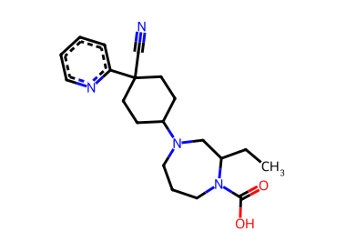 CCC1CN(C2CCC(C#N)(c3ccccn3)CC2)CCCN1C(=O)O